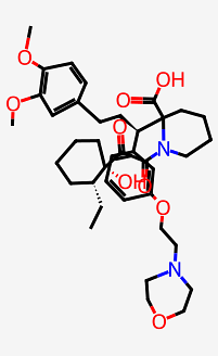 CC[C@@H]1CCCC[C@@]1(O)C(=O)C(=O)N1CCCCC1(C(=O)O)[C@H](CCc1ccc(OC)c(OC)c1)c1cccc(OCCN2CCOCC2)c1